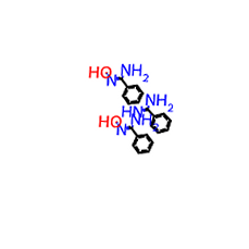 N=C(N)c1ccccc1.NC(=NO)c1ccccc1.NC(=NO)c1ccccc1